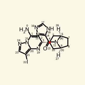 Nc1cc([C@@H]2C[C@H]3CC[C@@H](C2)N3C(=O)c2nnc[nH]2)nc2c(I)cnn12